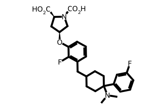 CN(C)C1(c2cccc(F)c2)CCC(Cc2cccc(O[C@H]3C[C@@H](C(=O)O)N(C(=O)O)C3)c2F)CC1